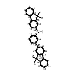 CC1(C)c2ccccc2-c2ccc(Nc3cccc(-c4ccc5c(c4)C(C)(C)c4ccccc4-5)c3)cc21